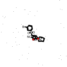 N#Cc1ccc(N2C3CCC2CN(C(=O)CCS(=O)(=O)c2cccc(Br)c2)C3)nc1